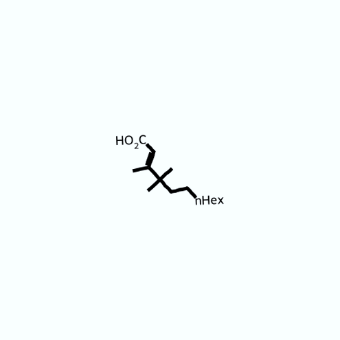 CCCCCCCCC(C)(C)/C(C)=C/C(=O)O